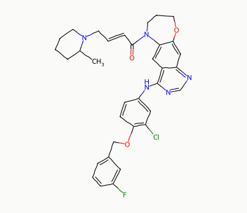 CC1CCCCN1C/C=C/C(=O)N1CCCOc2cc3ncnc(Nc4ccc(OCc5cccc(F)c5)c(Cl)c4)c3cc21